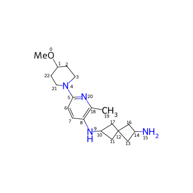 COC1CCN(c2ccc(NC3CC4(CC(N)C4)C3)c(C)n2)CC1